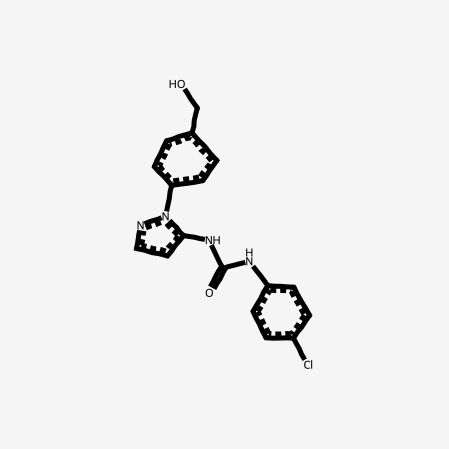 O=C(Nc1ccc(Cl)cc1)Nc1ccnn1-c1ccc(CO)cc1